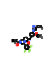 COc1cc(/C=C2\CCC3CN(C(C)=O)CC(c4cc(F)c(F)c(F)c4)N3C2=O)ccc1-n1cnc(C)c1